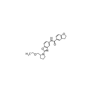 CCOCC1CCCN1c1nc2cc(NC(=O)c3ccc4c(c3)CCO4)ccc2o1